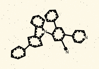 N#Cc1cc(-n2c3ccccc3c3cc(-c4ccccc4)ccc32)c(-c2ccccc2)cc1-c1ccncc1